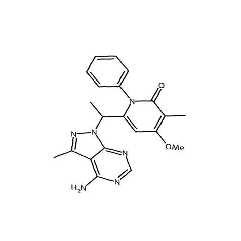 COc1cc(C(C)n2nc(C)c3c(N)ncnc32)n(-c2ccccc2)c(=O)c1C